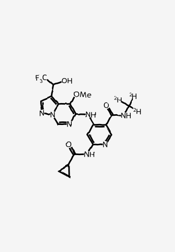 [2H]C([2H])([2H])NC(=O)c1cnc(NC(=O)C2CC2)cc1Nc1ncn2ncc(C(O)C(F)(F)F)c2c1OC